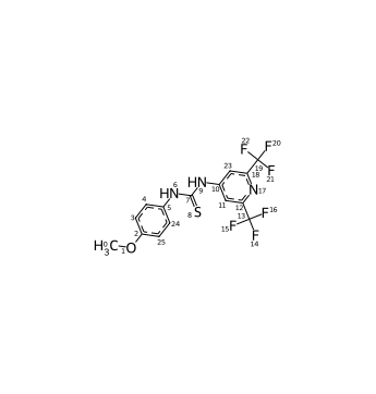 COc1ccc(NC(=S)Nc2cc(C(F)(F)F)nc(C(F)(F)F)c2)cc1